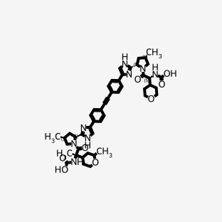 CC1CC([C@](C)(NC(=O)O)C(=O)N2C[C@@H](C)C[C@H]2c2nc(-c3ccc(C#Cc4ccc(-c5c[nH]c([C@@H]6C[C@H](C)CN6C(=O)[C@@H](NC(=O)O)C6CCOCC6)n5)cc4)cc3)c[nH]2)CCO1